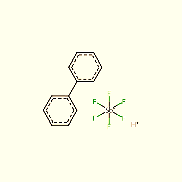 [F][Sb-]([F])([F])([F])([F])[F].[H+].c1ccc(-c2ccccc2)cc1